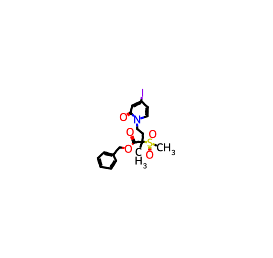 CC(CCn1ccc(I)cc1=O)(C(=O)OCc1ccccc1)S(C)(=O)=O